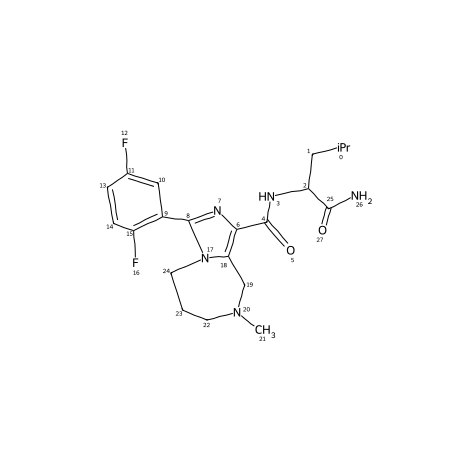 CC(C)CC(NC(=O)c1nc(-c2cc(F)ccc2F)n2c1CN(C)CCC2)C(N)=O